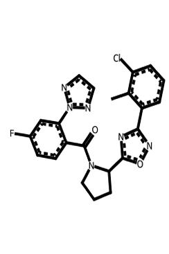 Cc1c(Cl)cccc1-c1noc(C2CCCN2C(=O)c2ccc(F)cc2-n2nccn2)n1